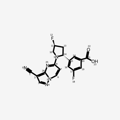 N#Cc1cnn2ccc(N3C[C@@H](F)C[C@@H]3c3cc(F)cc(C(=O)O)c3)nc12